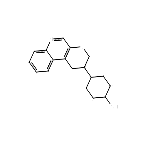 NC1CCC(C2COc3cnc4ccccc4c3C2)CC1